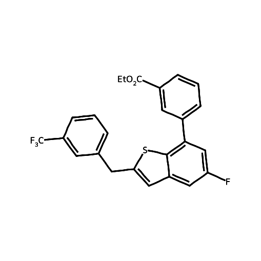 CCOC(=O)c1cccc(-c2cc(F)cc3cc(Cc4cccc(C(F)(F)F)c4)sc23)c1